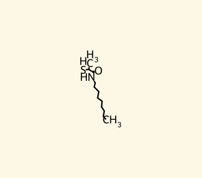 CCCCCCCCCNC(=O)C(C)S